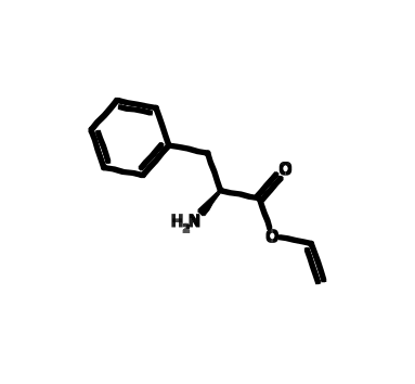 C=COC(=O)[C@@H](N)Cc1ccccc1